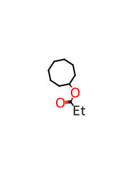 CCC(=O)OC1CCCCCCC1